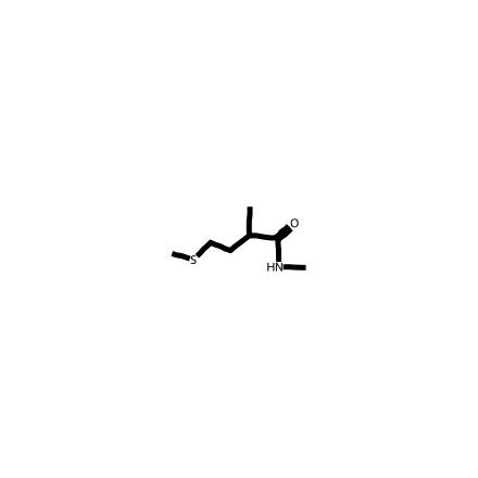 CNC(=O)C(C)CCSC